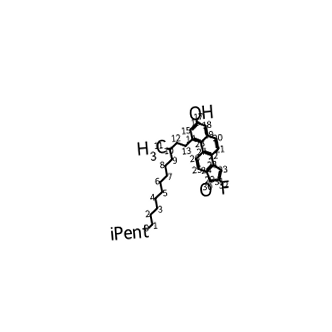 CCCC(C)CCCCCCCCCC(C)CCc1cc(O)cc2ccc3c4c(ccc3c12)C(=O)C(F)=C4